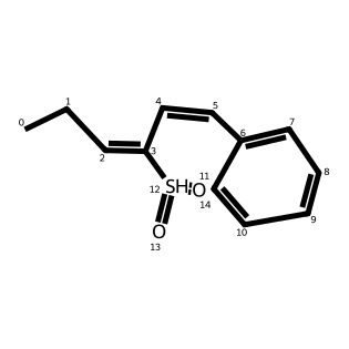 CC/C=C(\C=C/c1ccccc1)[SH](=O)=O